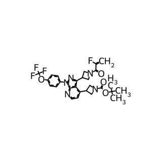 C=C(F)C(=O)N1CC(c2nn(-c3ccc(OC(F)(F)F)cc3)c3nccc(C4CN(C(=O)OC(C)(C)C)C4)c23)C1